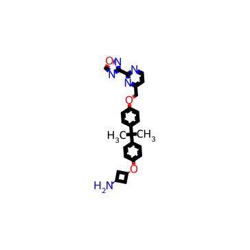 CC(C)(c1ccc(OCc2ccnc(-c3ncon3)n2)cc1)c1ccc(O[C@H]2C[C@@H](N)C2)cc1